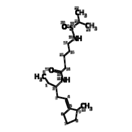 CCC(C/C=C1\CCCC1C)NC(=O)CCCCN[S+]([O-])C(C)C